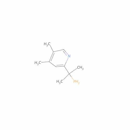 Cc1cnc(C(C)(C)P)cc1C